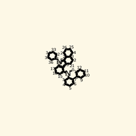 CN(c1ccccc1-c1ccccc1)c1cccc2c1c1ccc3ccccc3c1n2-c1ccccc1